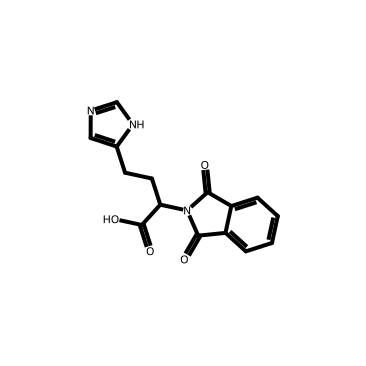 O=C(O)C(CCc1cnc[nH]1)N1C(=O)c2ccccc2C1=O